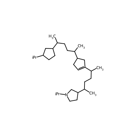 CC(CCC(C)C1CCN(C(C)C)C1)C1=CCC(C(C)CCC(C)C2CCC(C(C)C)C2)C1